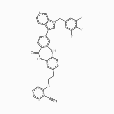 N#Cc1ncccc1OCCc1ccc2c(c1)NC(=O)c1ccc(-c3cn(Cc4cc(F)c(F)c(F)c4)c4cnccc34)cc1N2